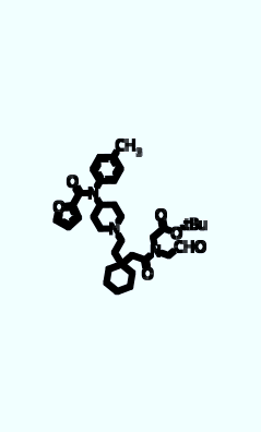 Cc1ccc(N(C(=O)c2ccco2)C2CCN(CCC3(CC(=O)N(CC=O)CC(=O)OC(C)(C)C)CCCCC3)CC2)cc1